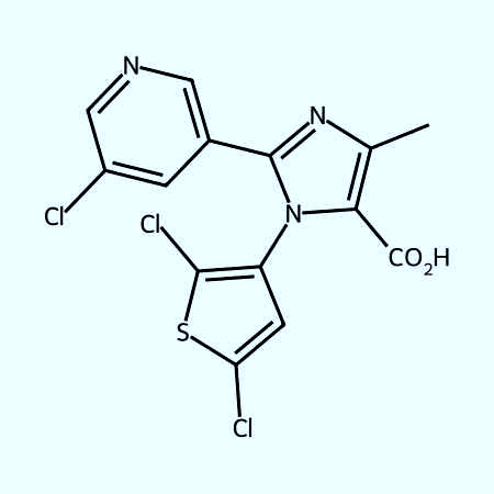 Cc1nc(-c2cncc(Cl)c2)n(-c2cc(Cl)sc2Cl)c1C(=O)O